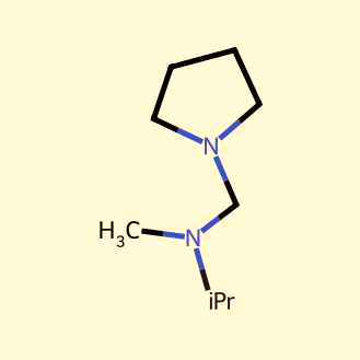 CC(C)N(C)CN1CCCC1